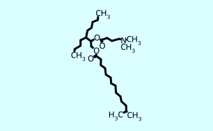 CCCCCC(CCCC)C(COC(=O)CCCCCCCCCCCC(C)C)OC(=O)CCCN(C)C